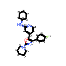 Fc1ccc(-c2nc(N3CCCCC3)oc2-c2ccnc(NC3CCCCC3)c2)cc1